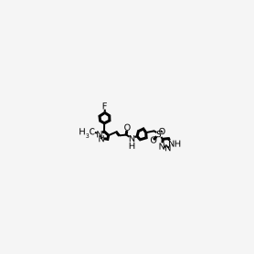 Cn1ncc(C=CC(=O)Nc2ccc(CS(=O)(=O)c3c[nH]nn3)cc2)c1-c1ccc(F)cc1